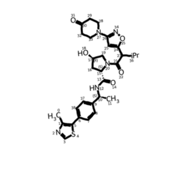 Cc1ncsc1-c1ccc([C@H](C)NC(=O)[C@@H]2C[C@@H](O)CN2C(=O)C(c2cc(N3CCC(=O)CC3)no2)C(C)C)cc1